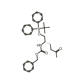 CC(=O)CC[C@@H](CO[Si](c1ccccc1)(c1ccccc1)C(C)(C)C)NC(=O)OCc1ccccc1